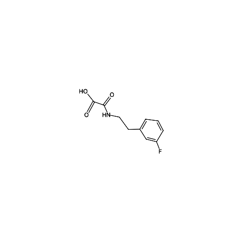 O=C(O)C(=O)NCCc1cccc(F)c1